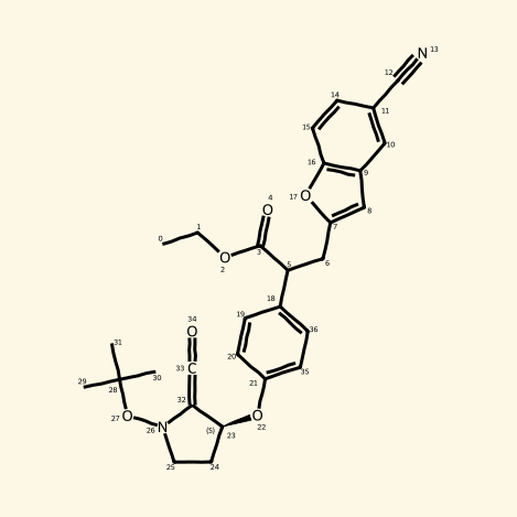 CCOC(=O)C(Cc1cc2cc(C#N)ccc2o1)c1ccc(O[C@H]2CCN(OC(C)(C)C)C2=C=O)cc1